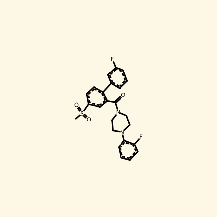 CS(=O)(=O)c1ccc(-c2cccc(F)c2)c(C(=O)N2CCN(c3ccccc3F)CC2)c1